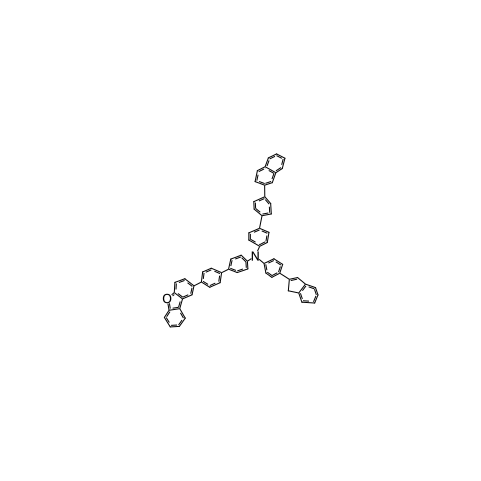 C1=C(c2ccc(N(c3ccc(-c4ccc(-c5ccc6ccccc6c5)cc4)cc3)c3ccc(-c4ccc(-c5ccc6oc7ccccc7c6c5)cc4)cc3)cc2)Cc2ccccc21